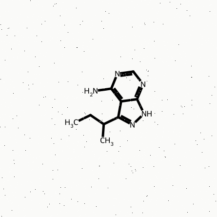 CCC(C)c1n[nH]c2ncnc(N)c12